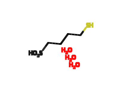 O.O.O.O=S(=O)(O)CCCCS